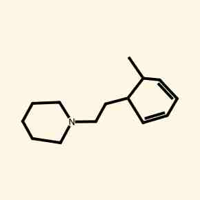 CC1C=CC=CC1CCN1CCCCC1